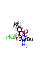 CCCCOc1c(CN)n(CC(C)(C)C)c(=O)c2ccc(OCCC)cc12.Cl